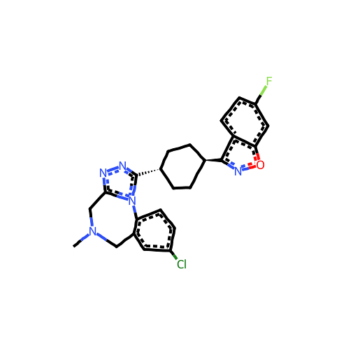 CN1Cc2cc(Cl)ccc2-n2c(nnc2[C@H]2CC[C@H](c3noc4cc(F)ccc43)CC2)C1